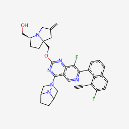 C#Cc1c(F)ccc2cccc(-c3ncc4c(N5CC6CCC(C5)N6C)nc(OC[C@@]56CC[C@@H](CO)N5CC(=C)C6)nc4c3F)c12